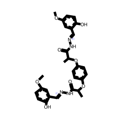 COc1ccc(O)c(/C=N/NC(=O)C(C)Oc2ccc(OC(C)C(=O)N/N=C/c3cc(OC)ccc3O)cc2)c1